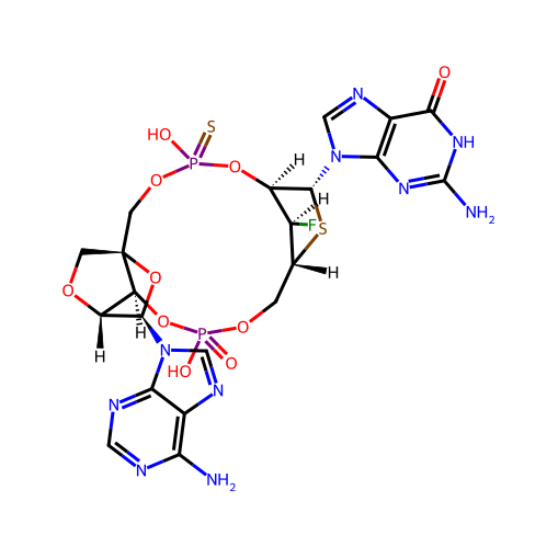 Nc1nc2c(ncn2[C@@H]2S[C@@H]3COP(=O)(O)O[C@H]4[C@H]5OC[C@@]4(COP(O)(=S)O[C@@H]2[C@H]3F)O[C@H]5n2cnc3c(N)ncnc32)c(=O)[nH]1